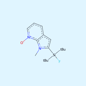 Cn1c([Si](F)(C(C)(C)C)C(C)(C)C)cc2ccc[n+]([O-])c21